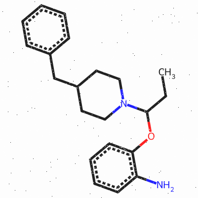 CCC(Oc1ccccc1N)N1CCC(Cc2ccccc2)CC1